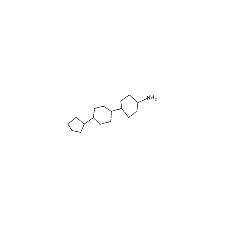 NC1CCC(C2CCC(C3CCCC3)CC2)CC1